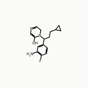 Nc1cc(C(CCC2CC2)N2CC=NC=C2O)ccc1F